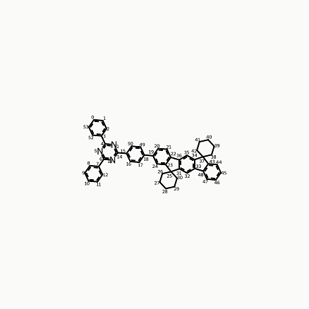 c1ccc(-c2nc(-c3ccccc3)nc(-c3ccc(-c4ccc5c(c4)C4(CCCCC4)c4cc6c(cc4-5)C4(CCCCC4)c4ccccc4-6)cc3)n2)cc1